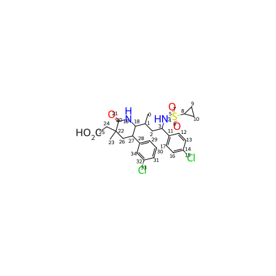 CC(CC(NS(=O)(=O)C1CC1)c1ccc(Cl)cc1)C1NC(=O)C(C)(CC(=O)O)CC1c1cccc(Cl)c1